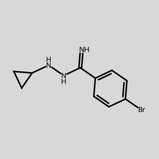 N=C(NNC1CC1)c1ccc(Br)cc1